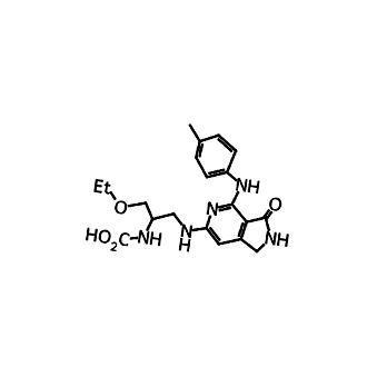 CCOCC(CNc1cc2c(c(Nc3ccc(C)cc3)n1)C(=O)NC2)NC(=O)O